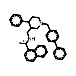 C[C@@H](NCC1CN(Cc2ccc(-c3ccccc3)cc2)CCC1c1ccccc1)c1cccc2ccccc12